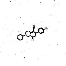 N#CC1=C2SCN(C3CCCCC3)CN2C(=O)CC1c1ccc(Br)cc1